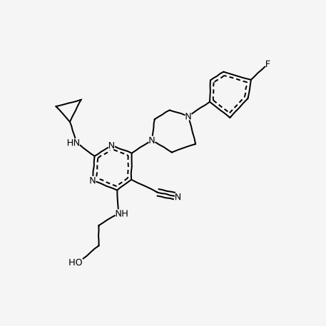 N#Cc1c(NCCO)nc(NC2CC2)nc1N1CCN(c2ccc(F)cc2)CC1